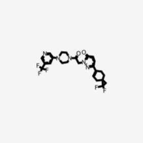 O=C(Cn1nc(C2=CCC3(CC2)CC3(F)F)ccc1=O)N1CCN(c2cncc(C(F)(F)F)c2)CC1